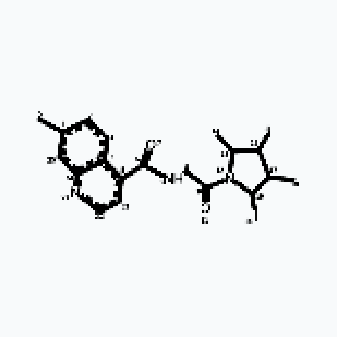 Cc1ccc2c(C(=O)NCC(=O)N3C(C)C(C)C(C)C3I)ccnc2c1